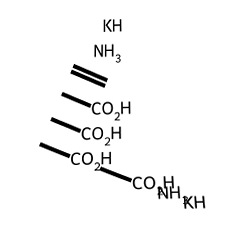 C=C.CC(=O)O.CC(=O)O.CC(=O)O.CC(=O)O.N.N.[KH].[KH]